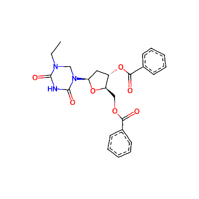 CCN1CN([C@H]2C[C@H](OC(=O)c3ccccc3)[C@@H](COC(=O)c3ccccc3)O2)C(=O)NC1=O